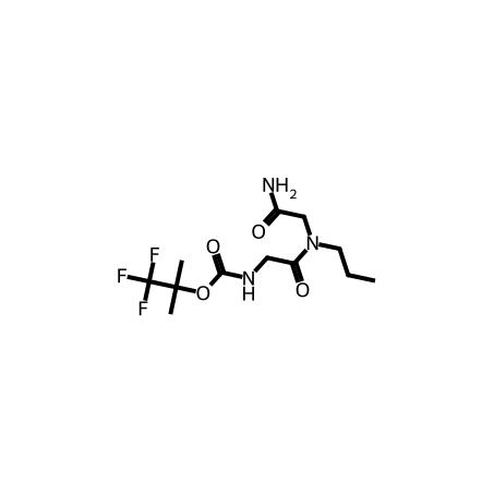 CCCN(CC(N)=O)C(=O)CNC(=O)OC(C)(C)C(F)(F)F